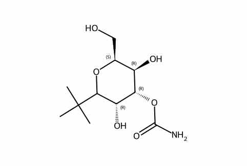 CC(C)(C)C1O[C@@H](CO)[C@@H](O)[C@H](OC(N)=O)[C@@H]1O